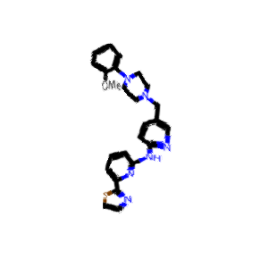 COc1ccccc1N1CCN(Cc2ccc(Nc3cccc(-c4nccs4)n3)nc2)CC1